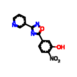 O=[N+]([O-])c1ccc(-c2nc(-c3cccnc3)no2)cc1O